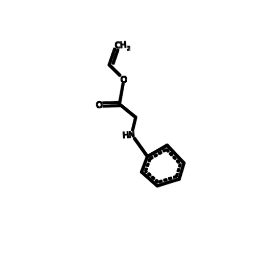 C=COC(=O)CNc1ccccc1